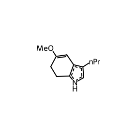 CCCc1c[nH]c2c1C=C(OC)CC2